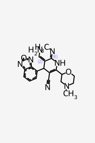 C/N=C1/NC(C2CN(C)CCO2)=C(C#N)C(c2cccc3nonc23)/C1=C/N